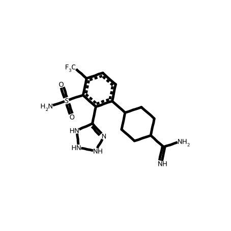 N=C(N)C1CCC(c2ccc(C(F)(F)F)c(S(N)(=O)=O)c2C2=NNNN2)CC1